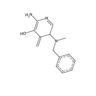 C=C1C(O)=C(N)N=CC1N(C)Cc1ccccc1